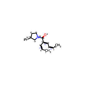 C\C=C/C=C(\C=C/C)C(=O)N1CCC(C(C)C)C1